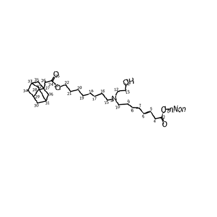 CCCCCCCCCOC(=O)CCCCCCCN(CCO)CCCCCCCCOC(=O)CC12CC3CC(CC(C3)C1)C2